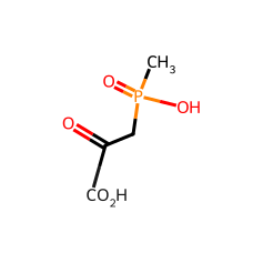 CP(=O)(O)CC(=O)C(=O)O